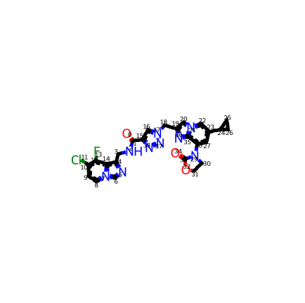 O=C(NCc1ncn2ccc(Cl)c(F)c12)c1cn(Cc2cn3cc(C4CC4)cc(N4CCOC4=O)c3n2)nn1